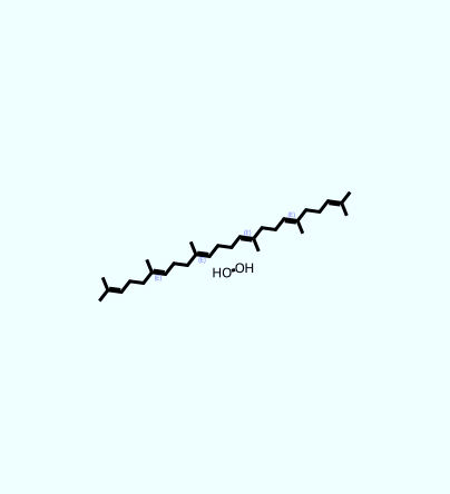 CC(C)=CCC/C(C)=C/CC/C(C)=C/CC/C=C(\C)CC/C=C(\C)CCC=C(C)C.OO